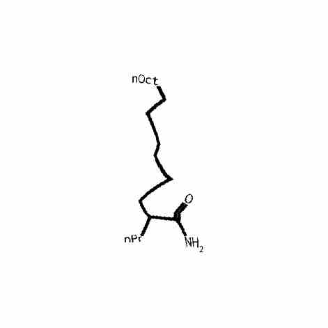 CCCCCCCCCCCCCCC(CCC)C(N)=O